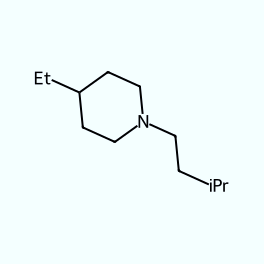 CCC1CCN(CCC(C)C)CC1